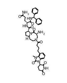 Cn1c(=O)n(C2CCC(=O)NC2=O)c2cccc(CCCC(=O)N3CC[C@H]4CC[C@@H](C(=O)N[C@@H](CCC(N)=O)C(=O)NC(c5ccccc5)c5ccccc5)N4C(=O)[C@@H](N)C3)c21